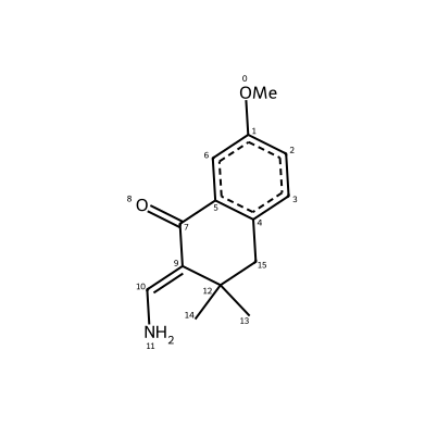 COc1ccc2c(c1)C(=O)C(=CN)C(C)(C)C2